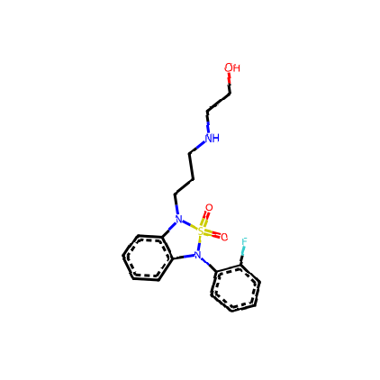 O=S1(=O)N(CCCNCCO)c2ccccc2N1c1ccccc1F